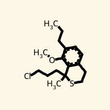 CCCc1ccc2c(c1OC)C(C)(CCCCl)SCC2